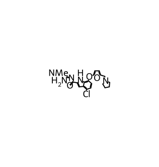 CNC(N)=NC(=O)c1cc2c(Cl)ccc(Oc3ccc(CN4CCCC4)o3)c2[nH]1